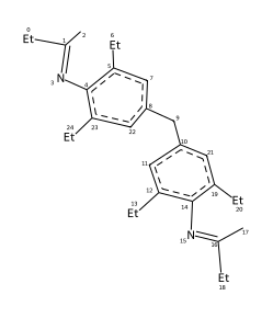 CCC(C)=Nc1c(CC)cc(Cc2cc(CC)c(N=C(C)CC)c(CC)c2)cc1CC